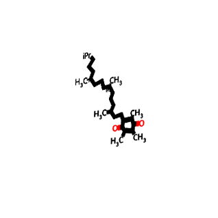 CC1=C(C)C(=O)C(CCC(C)CCC[C@H](C)CCC[C@H](C)CCCC(C)C)=C(C)C1=O